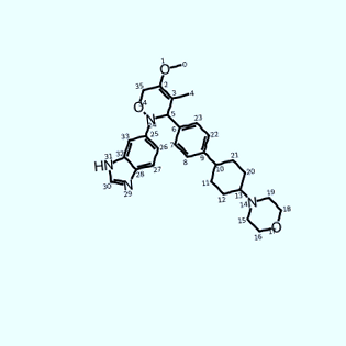 COC1=C(C)C(c2ccc(C3CCC(N4CCOCC4)CC3)cc2)N(c2ccc3nc[nH]c3c2)OC1